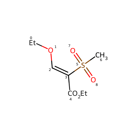 CCOC=C(C(=O)OCC)S(C)(=O)=O